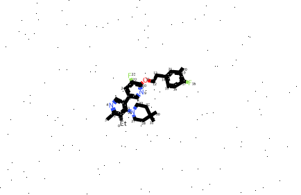 CCc1c(C)ncc(-c2cnc(OCCc3ccc(F)c(C)c3)c(F)c2)c1N1CCC(C)(C)CC1